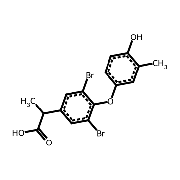 Cc1cc(Oc2c(Br)cc(C(C)C(=O)O)cc2Br)ccc1O